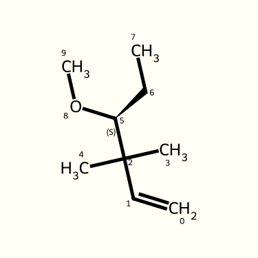 C=CC(C)(C)[C@H](CC)OC